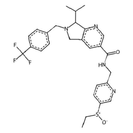 CC[S+]([O-])c1ccc(CNC(=O)c2cnc3c(c2)CN(Cc2ccc(C(F)(F)F)cc2)C3C(C)C)nc1